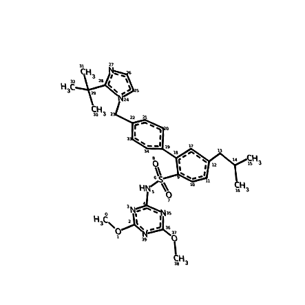 COc1nc(NS(=O)(=O)c2ccc(CC(C)C)cc2-c2ccc(Cn3ccnc3C(C)(C)C)cc2)nc(OC)n1